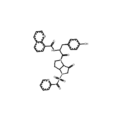 O=C(NC(Cc1ccc(O)cc1)C(=O)N1CCC2C1C(=O)CN2S(=O)(=O)C(=O)c1ccccn1)c1cccc2cccnc12